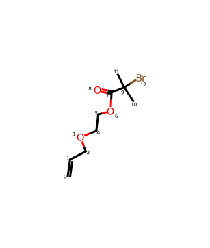 C=CCOCCOC(=O)C(C)(C)Br